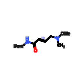 CCCC(C)NC(=O)/C=C/CN(C)OC